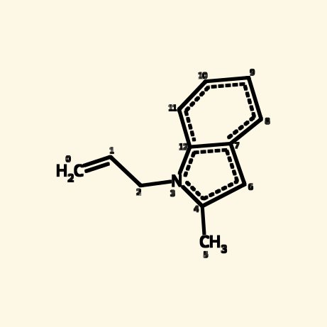 C=CCn1c(C)cc2ccccc21